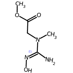 COC(=O)CN(C)/C(N)=N/O